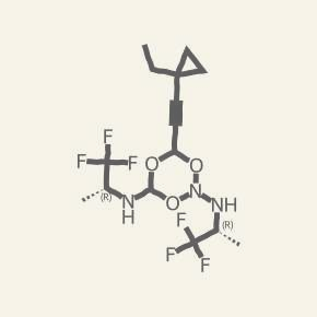 CCC1(C#CC2OC(N[C@H](C)C(F)(F)F)ON(N[C@H](C)C(F)(F)F)O2)CC1